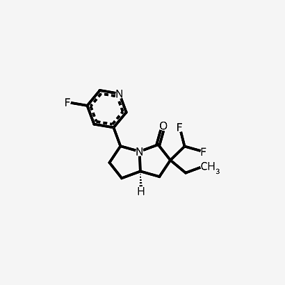 CCC1(C(F)F)C[C@H]2CCC(c3cncc(F)c3)N2C1=O